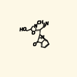 CN1CC(CO)OC1=C(C#N)C1C2C(=O)c3ccccc3N21